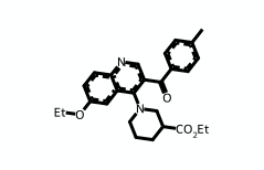 CCOC(=O)C1CCCN(c2c(C(=O)c3ccc(C)cc3)cnc3ccc(OCC)cc23)C1